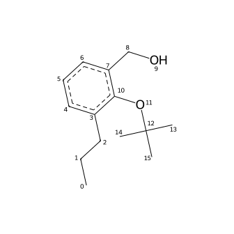 CCCc1cccc(CO)c1OC(C)(C)C